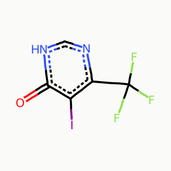 O=c1[nH]cnc(C(F)(F)F)c1I